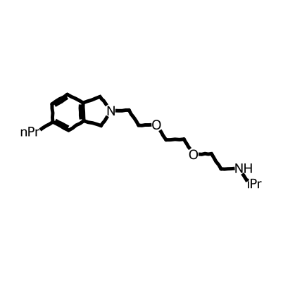 CCCc1ccc2c(c1)CN(CCOCCOCCNC(C)C)C2